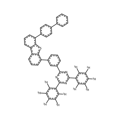 [2H]c1c([2H])c([2H])c(-c2nc(-c3cccc(-c4cccc5c4sc4c(-c6ccc(-c7ccccc7)cc6)cccc45)c3)nc(-c3c([2H])c([2H])c([2H])c([2H])c3[2H])n2)c([2H])c1[2H]